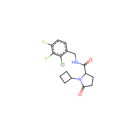 O=C(NCc1ccc(F)c(F)c1Cl)C1CCC(=O)N1C1CCC1